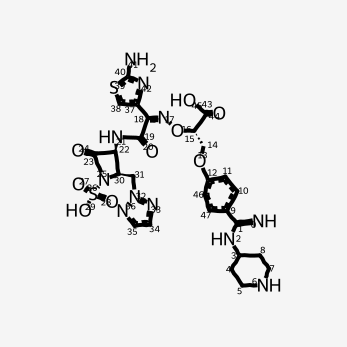 N=C(NC1CCNCC1)c1ccc(OC[C@H](O/N=C(\C(=O)N[C@@H]2C(=O)N(S(=O)(=O)O)[C@@H]2Cn2nccn2)c2csc(N)n2)C(=O)O)cc1